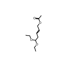 CCOC(CC=CCOC(C)=O)OCC